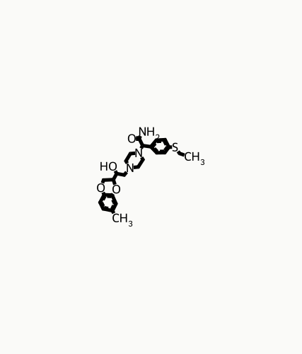 CCSc1ccc(C(C(N)=O)N2CCN(CC(O)C3COc4ccc(C)cc4O3)CC2)cc1